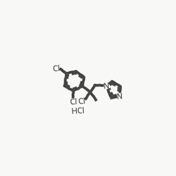 CC(Cl)(Cn1ccnc1)c1ccc(Cl)cc1Cl.Cl